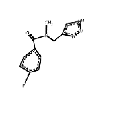 CN(Cc1c[nH]nn1)C(=O)c1ccc(F)cc1